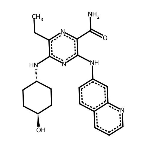 CCc1nc(C(N)=O)c(Nc2ccc3cccnc3c2)nc1N[C@H]1CC[C@H](O)CC1